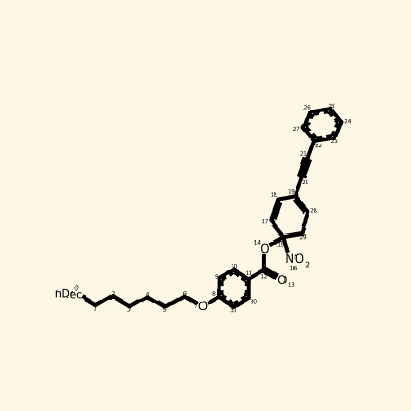 CCCCCCCCCCCCCCCCOc1ccc(C(=O)OC2([N+](=O)[O-])C=CC(C#Cc3ccccc3)=CC2)cc1